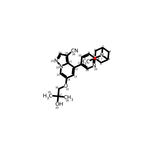 CN1CC2CC(C1)N2c1ccc(-c2cc(OCC(C)(C)O)cn3ncc(C#N)c23)cn1